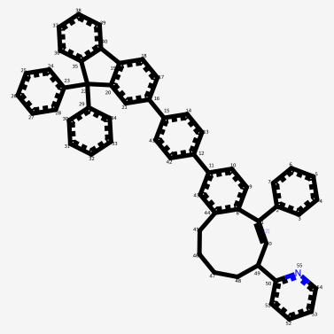 C1=C(/c2ccccc2)c2ccc(-c3ccc(-c4ccc5c(c4)C(c4ccccc4)(c4ccccc4)c4ccccc4-5)cc3)cc2CCCCC/1c1ccccn1